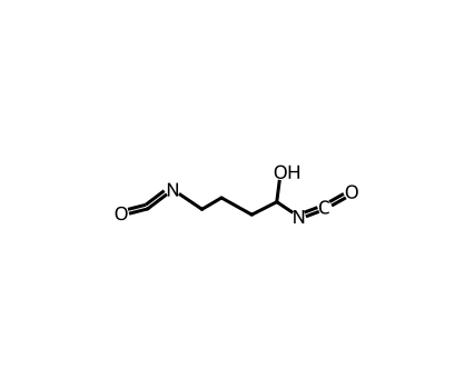 O=C=NCCCC(O)N=C=O